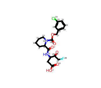 O=C(O)CC(NC(=O)C1CCCCN1C(=O)OCc1cccc(Cl)c1)C(=O)CF